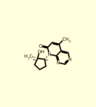 Cc1cc(=O)n([C@@H]2CCC[C@@]2(C)O)c2ncncc12